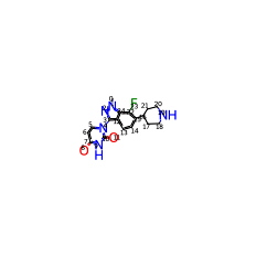 Cn1nc(-n2ccc(=O)[nH]c2=O)c2ccc(C3CCNCC3)c(F)c21